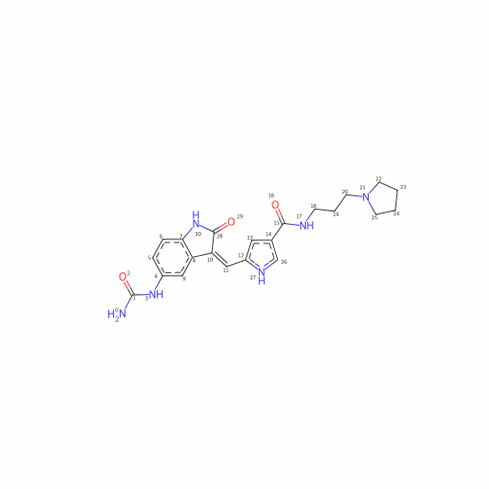 NC(=O)Nc1ccc2c(c1)/C(=C/c1cc(C(=O)NCCCN3CCCC3)c[nH]1)C(=O)N2